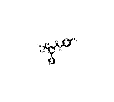 CC(C)(O)c1cc(C(=O)Nc2ccc(C(F)(F)F)nc2)nc(-n2ccnc2)n1